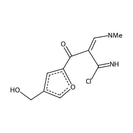 CN/C=C(\C(=N)Cl)C(=O)c1cc(CO)co1